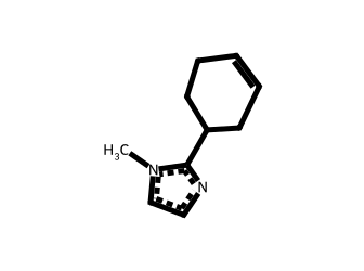 Cn1ccnc1C1CC=CCC1